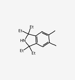 CCC1(CC)NC(CC)(CC)c2cc(C)c(C)cc21